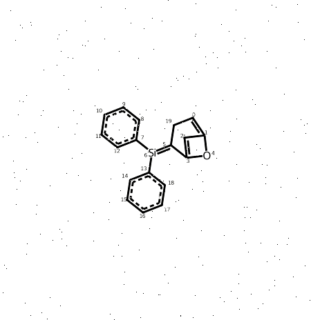 [C]1=C2[C]=C(O2)C(=[Si](c2ccccc2)c2ccccc2)C1